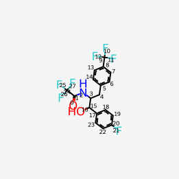 O=C(NC(Cc1ccc(C(F)(F)F)cc1)C(O)c1ccc(F)cc1)C(F)(F)F